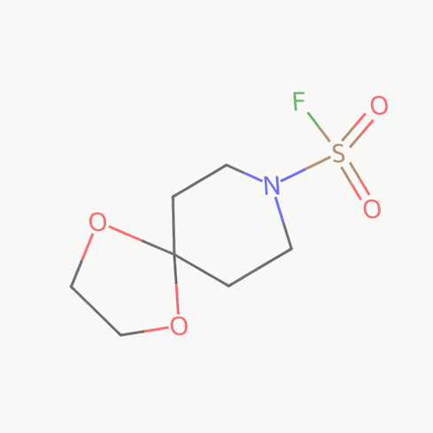 O=S(=O)(F)N1CCC2(CC1)OCCO2